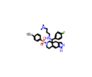 CN(C)CCCN[C@@H](c1ccc(F)cc1)C12Cc3cn[nH]c3C=C1CCN(S(=O)(=O)c1ccc(C(C)(C)C)cc1)C2